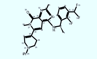 Cc1nc(N[C@H](C)c2cccc(C(F)F)c2F)c2cc(C3=CCN(C(C)C)CC3)n(C)c(=O)c2n1